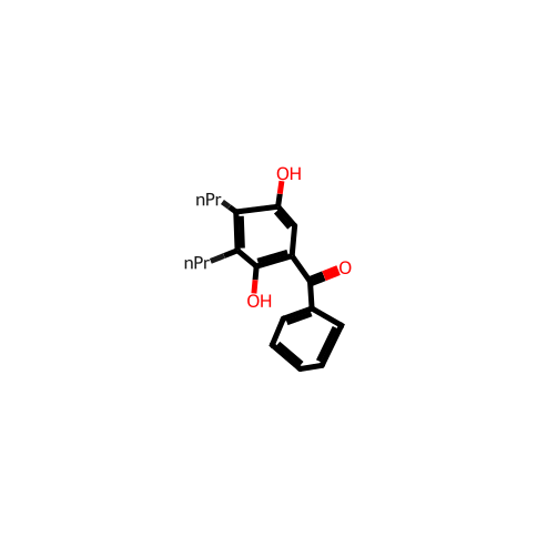 CCCc1c(O)cc(C(=O)c2ccccc2)c(O)c1CCC